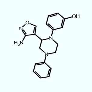 Nc1nocc1C1CN(c2ccccc2)CCN1c1cccc(O)c1